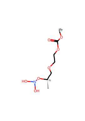 CC(C)OC(=O)OCCOC[C@H](C)ON(O)O